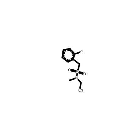 CN(CC#N)S(=O)(=O)Cc1ccccc1Cl